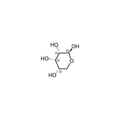 O[C@@H]1[C@H](O)[C@@H](O)OC[C@@H]1O